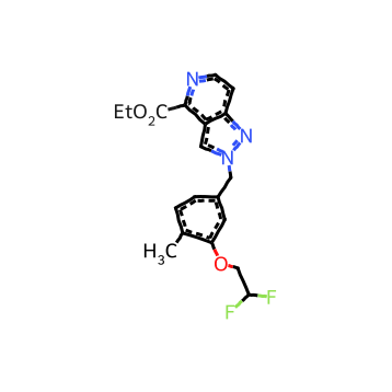 CCOC(=O)c1nccc2nn(Cc3ccc(C)c(OCC(F)F)c3)cc12